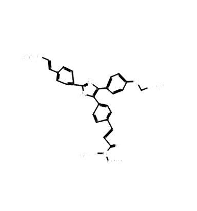 CCCCCCN(CCCCCC)C(=O)/C=C/c1ccc(-c2[nH]c(-c3ccc(/C=C/C(=O)OCC)cc3)nc2-c2ccc(OCC(=O)O)cc2)cc1